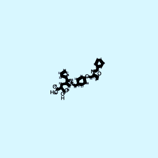 Cc1oc(-c2ccccc2)nc1COc1ccc(Cn2cc(CC(C(=O)O)C(=O)O)c(-c3cccs3)n2)cc1